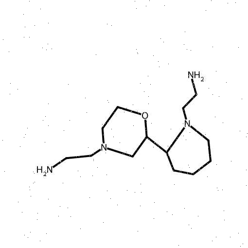 NCCN1CCOC(C2CCCCN2CCN)C1